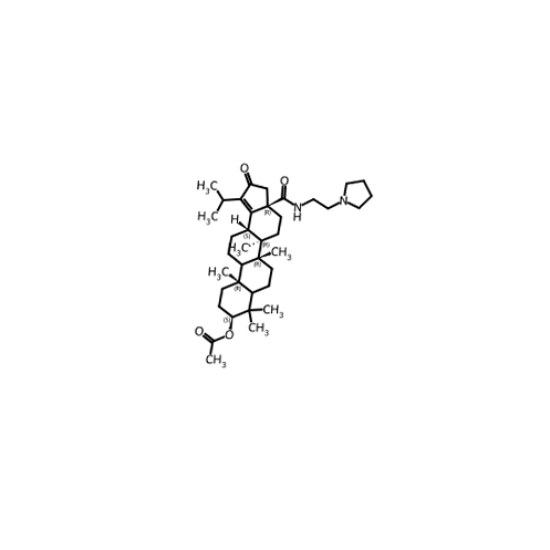 CC(=O)O[C@H]1CC[C@@]2(C)C(CC[C@]3(C)C2CC[C@@H]2C4=C(C(C)C)C(=O)C[C@]4(C(=O)NCCN4CCCC4)CC[C@]23C)C1(C)C